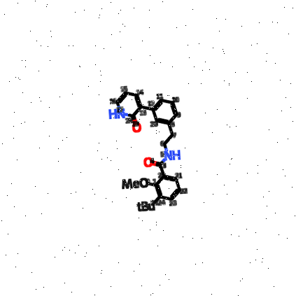 COc1c(C(=O)NCCc2cccc(-c3ccc[nH]c3=O)c2)cccc1C(C)(C)C